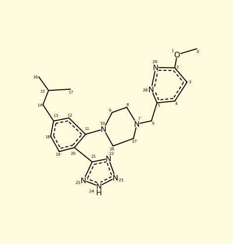 COc1ccc(CN2CCN(c3cc(CC(C)C)ccc3-c3nn[nH]n3)CC2)nn1